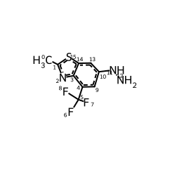 Cc1nc2c(C(F)(F)F)cc(NN)cc2s1